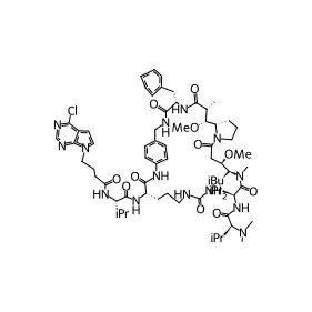 CC[C@H](C)[C@@H]([C@@H](CC(=O)N1CCC[C@H]1[C@H](OC)[C@@H](C)C(=O)N[C@@H](Cc1ccccc1)C(=O)NCc1ccc(NC(=O)[C@H](CCCNC(N)=O)NC(=O)[C@@H](NC(=O)CCCn2ccc3c(Cl)ncnc32)C(C)C)cc1)OC)N(C)C(=O)[C@@H](NC(=O)[C@H](C(C)C)N(C)C)C(C)C